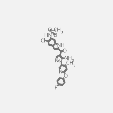 Cc1cc(Oc2ccc(F)cc2)ncc1-n1ncc(C(=O)c2cc3cc(Cl)c(NS(C)(=O)=O)cc3[nH]2)c1N